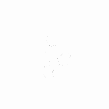 O=C(On1c2ccccc2c2ccccc21)N(S)S